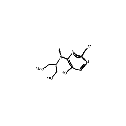 COCC(CO)N(C)c1nc(Cl)ncc1O